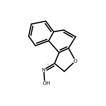 O/N=C1\COc2ccc3ccccc3c21